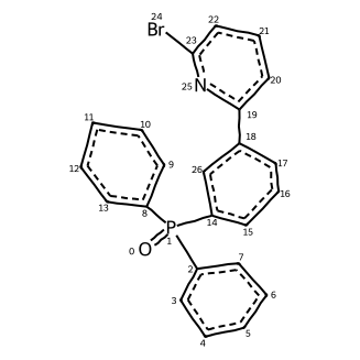 O=P(c1ccccc1)(c1ccccc1)c1cccc(-c2cccc(Br)n2)c1